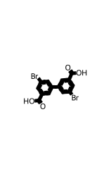 O=C(O)c1cc(Br)cc(-c2cc(Br)cc(C(=O)O)c2)c1